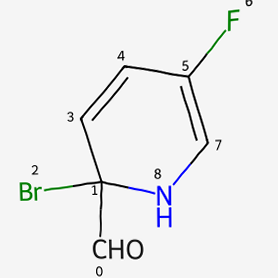 O=CC1(Br)C=CC(F)=CN1